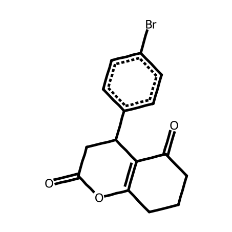 O=C1CC(c2ccc(Br)cc2)C2=C(CCCC2=O)O1